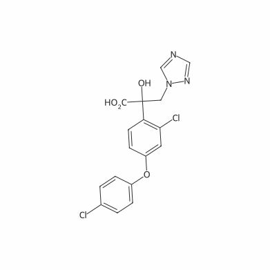 O=C(O)C(O)(Cn1cncn1)c1ccc(Oc2ccc(Cl)cc2)cc1Cl